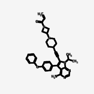 C=CC(=O)N1CC(N2CCC(C#Cc3c(-c4ccc(Oc5ccccc5)cc4)c4c(N)ncnc4n3C(C)C)CC2)C1